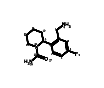 NCc1cc(F)ccc1C1CCCCN1C(N)=O